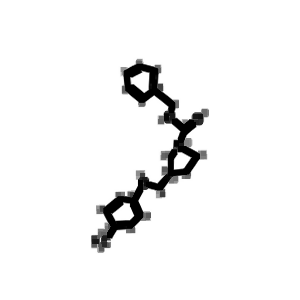 O=C(OCc1ccccc1)N1CC[C@@H](COc2ccc(C(F)(F)F)cc2)C1